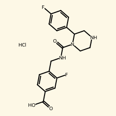 Cl.O=C(O)c1ccc(CNC(=O)N2CCNCC2c2ccc(F)cc2)c(F)c1